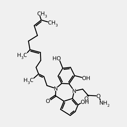 CC(C)=CCC/C(C)=C/CC/C(C)=C/CN1C(=O)c2cccc(O)c2N(CC(=O)ON)c2c(O)cc(O)cc21